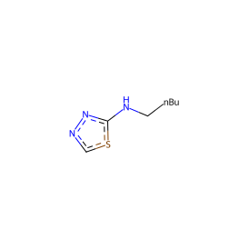 CCCCCNc1nncs1